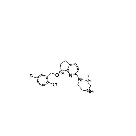 C[C@@H]1CNCCN1c1ccc2c(n1)[C@@H](OCc1cc(F)ccc1Cl)CC2